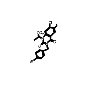 CC(C(=O)O)n1c(=O)n(Cc2ccc(Br)cc2)c(=O)c2cc(F)c(Cl)cc21